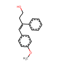 COc1ccc(C=C(CCO)c2ccccc2)cc1